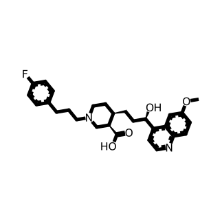 COc1ccc2nccc([C@H](O)CC[C@@H]3CCN(CCCc4ccc(F)cc4)C[C@@H]3C(=O)O)c2c1